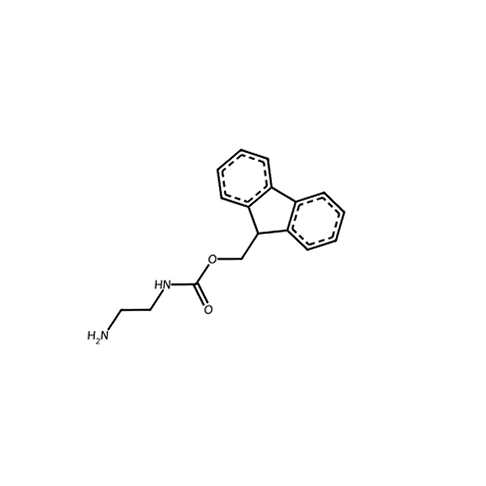 NCCNC(=O)OCC1c2ccccc2-c2ccccc21